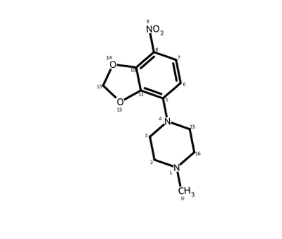 CN1CCN(c2ccc([N+](=O)[O-])c3c2OCO3)CC1